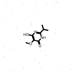 COc1c(O)nc(C(C)C)[nH]c1=O